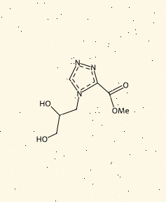 COC(=O)c1nn[c]n1CC(O)CO